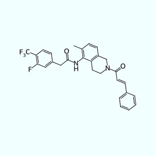 Cc1ccc2c(c1NC(=O)Cc1ccc(C(F)(F)F)c(F)c1)CCN(C(=O)/C=C/c1ccccc1)C2